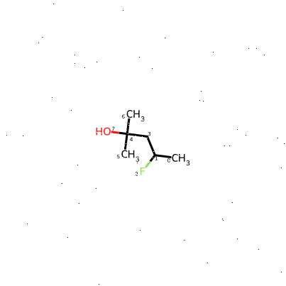 CC(F)CC(C)(C)O